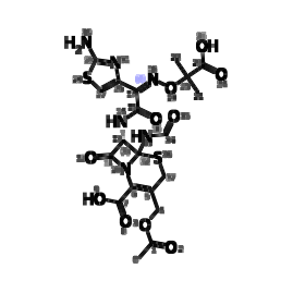 CC(=O)OCC1=C(C(=O)O)N2C(=O)[C@H](NC(=O)/C(=N\OC(C)(C)C(=O)O)c3csc(N)n3)C2(NC=O)SC1